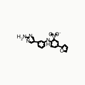 Nc1ncc(-c2cccc(Nc3ccc(-c4ccco4)cc3[N+](=O)[O-])c2)cn1